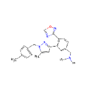 Cc1ccc(Cn2nc(-c3cc(CN(C(C)C)C(C)C)ccc3-c3ncon3)cc2C)cc1